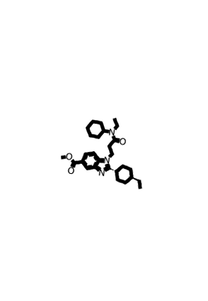 CCN(C(=O)CCn1c2ccc(C(=O)OC)cc2nc1[C@H]1CC[C@H](CC)CC1)C1CCCCC1